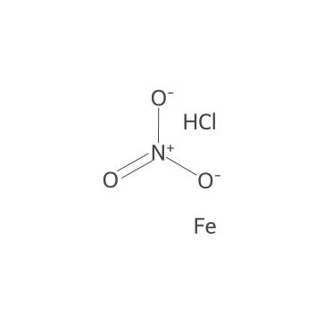 Cl.O=[N+]([O-])[O-].[Fe]